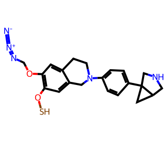 [N-]=[N+]=NCOc1cc2c(cc1OS)CN(c1ccc(C34CNCC3C4)cc1)CC2